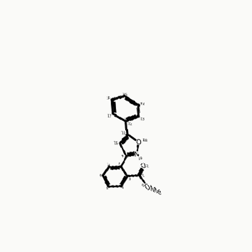 COC(=O)c1ccccc1-c1cc(-c2ccccc2)on1